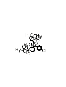 CN(C(=O)C1COC(C)(C)N1C(=O)O)C1(Cc2ccc(Cl)cc2)CCCN(C(=O)OC(C)(C)C)C1